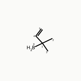 BC(C)(C)C=C